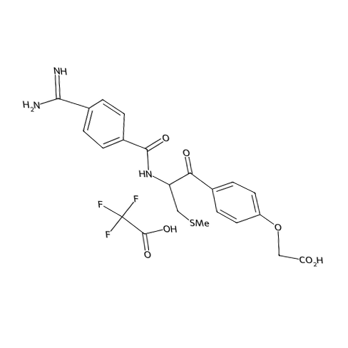 CSCC(NC(=O)c1ccc(C(=N)N)cc1)C(=O)c1ccc(OCC(=O)O)cc1.O=C(O)C(F)(F)F